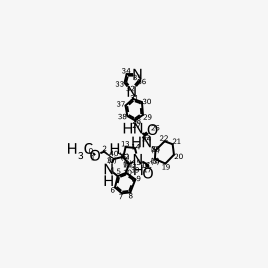 COC[C@@H]1Nc2ccccc2[C@H]2[C@H]1CCN2C(=O)[C@H]1CCCC[C@H]1NC(=O)Nc1ccc(-n2ccnc2)cc1